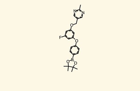 Cc1ncc(COc2cc(F)cc(Oc3ccc(B4OC(C)(C)C(C)(C)O4)cc3)c2)cn1